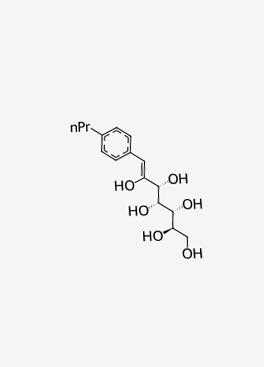 CCCc1ccc(C=C(O)[C@H](O)[C@@H](O)[C@H](O)[C@H](O)CO)cc1